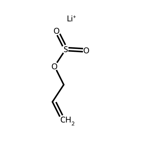 C=CCO[S-](=O)=O.[Li+]